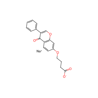 O=C([O-])CCCOc1ccc2c(=O)c(-c3ccccc3)coc2c1.[Na+]